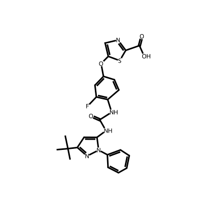 CC(C)(C)c1cc(NC(=O)Nc2ccc(Oc3cnc(C(=O)O)s3)cc2F)n(-c2ccccc2)n1